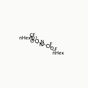 CCCCCCC(F)COc1ccc(-c2cnc(-c3ccc(C(=O)O[C@H](CCCCCC)C(F)(F)F)cc3)nc2)cc1F